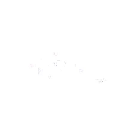 CNC1CCN(c2ccc3c(c2)CN(C2CCC(=O)NC2=O)C3=O)CC1